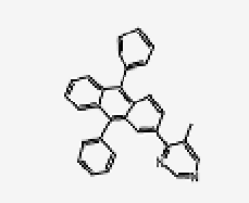 Cc1cncnc1-c1ccc2c(-c3ccccc3)c3ccccc3c(-c3ccccc3)c2c1